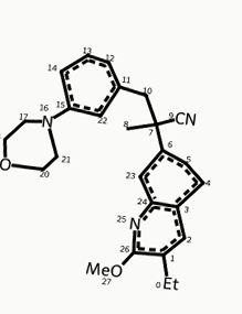 CCc1cc2ccc(C(C)(C#N)Cc3cccc(N4CCOCC4)c3)cc2nc1OC